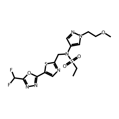 CCS(=O)(=O)N(Cc1ncc(-c2nnc(C(F)F)o2)s1)c1cnn(CCOC)c1